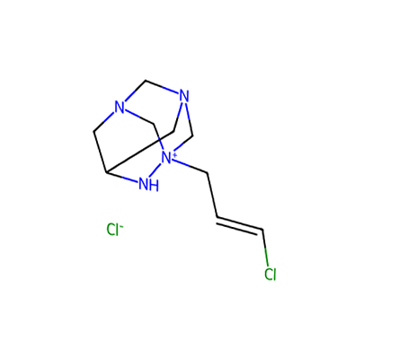 ClC=CC[N+]12CN3CC(CN(C3)C1)N2.[Cl-]